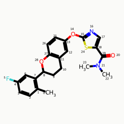 Cc1ccc(F)cc1C1CCc2cc(Oc3ncc(C(=O)N(C)C)s3)ccc2O1